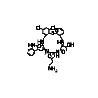 CC(O)[C@@H]1NCc2cccnc2Sc2c(Cl)cc(Cl)cc2CNC(=O)[C@H](Cc2c[nH]c3ccccc23)N(C)C(=O)[C@H](CCCCN)NC1=O